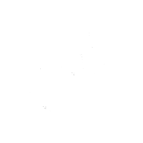 Nc1cccc(CNC23CC4CC5CC(C2)C5(C4)C3)c1